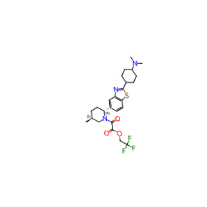 C[C@H]1CC[C@H](c2ccc3sc(C4CCC(N(C)C)CC4)nc3c2)N(C(=O)C(=O)OCC(F)(F)F)C1